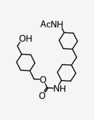 CC(=O)NC1CCC(CC2CCC(NC(=O)OCC3CCC(CO)CC3)CC2)CC1